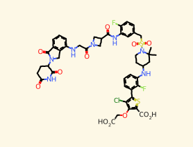 CC1(C)CC(Nc2cccc(-c3sc(C(=O)O)c(OCC(=O)O)c3Cl)c2F)CCN1S(=O)(=O)Cc1ccc(F)c(NC(=O)C2CN(C(=O)CNc3cccc4c3CN(C3CCC(=O)NC3=O)C4=O)C2)c1